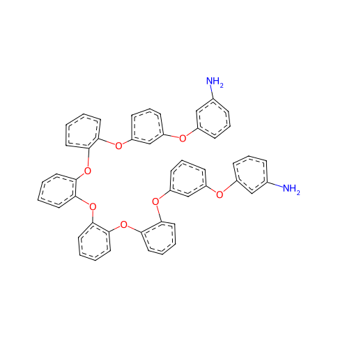 Nc1cccc(Oc2cccc(Oc3ccccc3Oc3ccccc3Oc3ccccc3Oc3ccccc3Oc3cccc(Oc4cccc(N)c4)c3)c2)c1